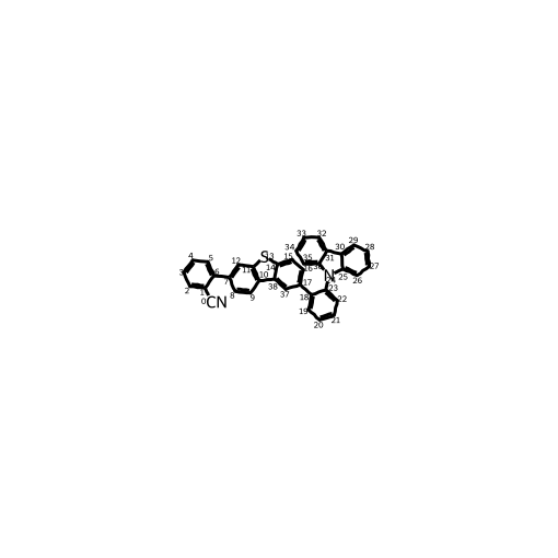 N#Cc1ccccc1-c1ccc2c(c1)sc1ccc(-c3ccccc3-n3c4ccccc4c4ccccc43)cc12